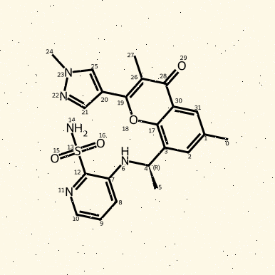 Cc1cc([C@@H](C)Nc2cccnc2S(N)(=O)=O)c2oc(-c3cnn(C)c3)c(C)c(=O)c2c1